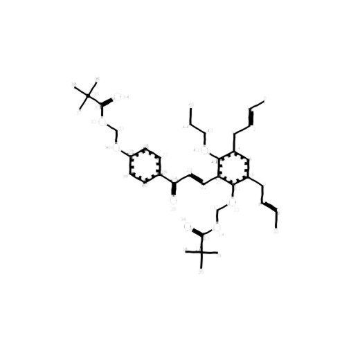 C/C=C/Cc1cc(C/C=C/C)c(OCOC(=O)C(C)(C)C)c(/C=C/C(=O)c2ccc(OCOC(=O)C(C)(C)C)cc2)c1OCCC